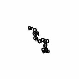 CN(Cc1ccc(Br)cc1)C(=O)[C@@H]1CCCN(c2cccc(OC(C)(C)C(=O)N3CCN(C(=O)OC(C)(C)C)CC3)c2)C1